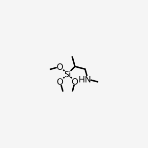 CNCC(C)[Si](OC)(OC)OC